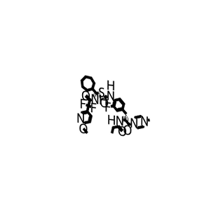 CCC(=O)N[C@H](Cc1ccc(NC(=O)S[C@@H](NC(=O)C(F)(F)c2ccc(OC)nc2)C2CCCCCC2)c(F)c1)C(=O)N1CCN(C)CC1